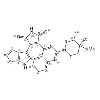 CCC1(NC)CCN(c2nc(C3=C(c4c[nH]c5sccc45)C(=O)NC3=O)c3ccccc3n2)CC1F